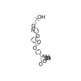 CC(C)(O)CCOc1ccc(Oc2cccc3c2OC[C@H]3Oc2ccc(C(CC=O)N[SH](=O)=O)cc2)cn1